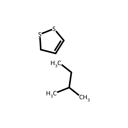 C1=CSSC1.CCC(C)C